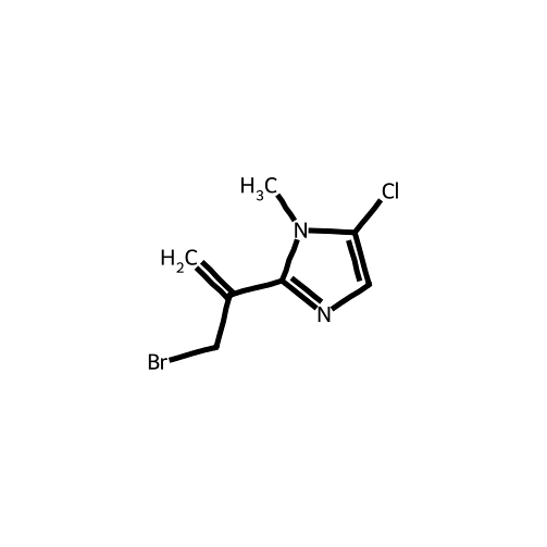 C=C(CBr)c1ncc(Cl)n1C